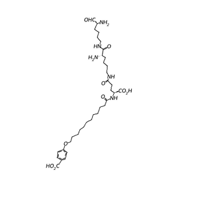 N[C@H](C=O)CCCCNC(=O)[C@@H](N)CCCCNC(=O)CC[C@H](NC(=O)CCCCCCCCCCCOc1ccc(C(=O)O)cc1)C(=O)O